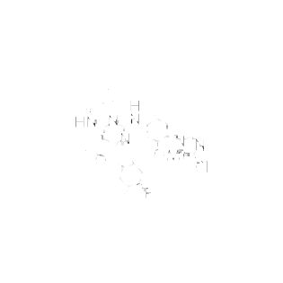 COc1cc(Nc2nc(N[C@H](C)C3CC3)c3c(n2)C(c2ccc(F)cc2)OC3)ccc1-n1cnc(Cl)c1